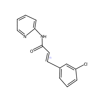 O=C(/C=C/c1cccc(Cl)c1)Nc1ccccn1